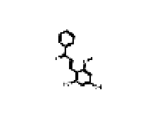 COc1cc(O)cc(O)c1C=CC(=O)c1ccccc1